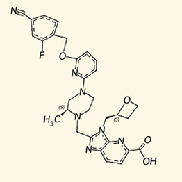 C[C@H]1CN(c2cccc(OCc3ccc(C#N)cc3F)n2)CCN1Cc1nc2ccc(C(=O)O)nc2n1C[C@@H]1CCO1